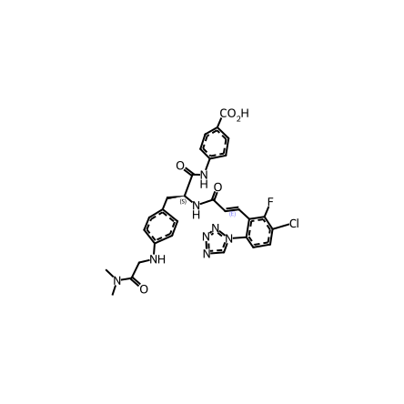 CN(C)C(=O)CNc1ccc(C[C@H](NC(=O)/C=C/c2c(-n3cnnn3)ccc(Cl)c2F)C(=O)Nc2ccc(C(=O)O)cc2)cc1